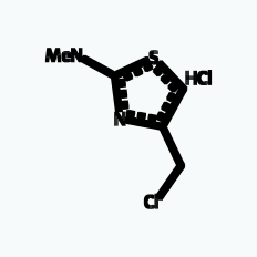 CNc1nc(CCl)cs1.Cl